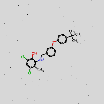 Cc1c(Cl)cc(Cl)c(O)c1NCc1cccc(Oc2ccc(C(C)(C)C)cc2)c1